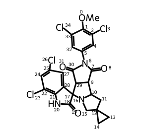 COc1c(Cl)cc(N2C(=O)C3C4CC5(CC5)CN4C4(C(=O)Nc5c(Cl)cc(Cl)cc54)C3C2=O)cc1Cl